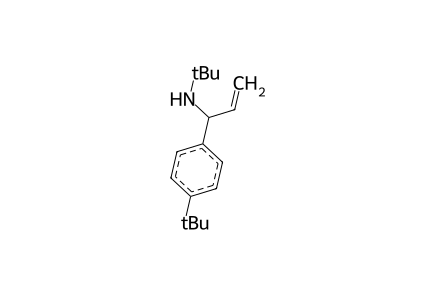 C=CC(NC(C)(C)C)c1ccc(C(C)(C)C)cc1